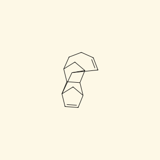 C1=CC2C3CC(CC1)C1C3C3C=CC21C3